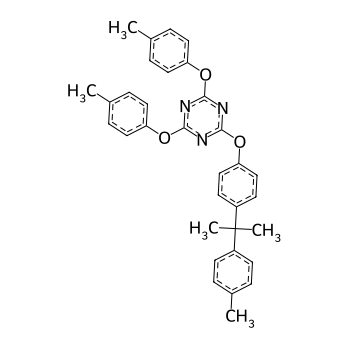 Cc1ccc(Oc2nc(Oc3ccc(C)cc3)nc(Oc3ccc(C(C)(C)c4ccc(C)cc4)cc3)n2)cc1